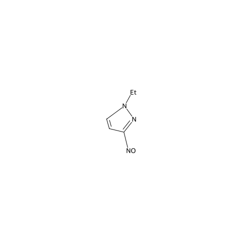 CCn1ccc(N=O)n1